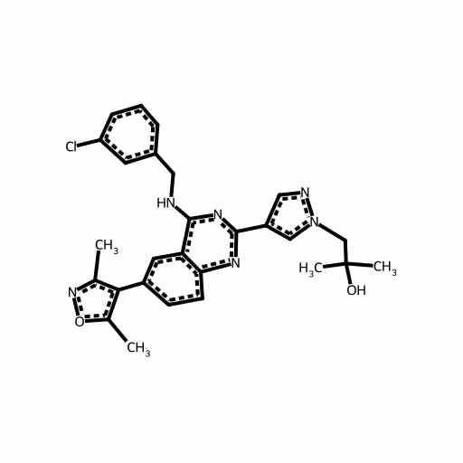 Cc1noc(C)c1-c1ccc2nc(-c3cnn(CC(C)(C)O)c3)nc(NCc3cccc(Cl)c3)c2c1